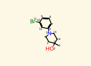 CC1(O)CCN(c2cccc(Br)c2)CC1